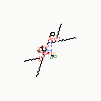 CCCCCCCCCCC[C@H](CC(=O)N[C@@H](COCc1ccccc1)CO[C@@H]1O[C@@H]2COC(C)(C)O[C@H]2[C@H](OC(=O)C[C@@H](CCCCCCCCCCC)OC(=O)CCCCCCCC)[C@H]1NC(=O)OCC(Cl)(Cl)Cl)OC(=O)CCCCCCCC